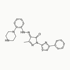 CC1=NN(c2nc(-c3ccccc3)cs2)C(=O)/C1=N/Nc1ccccc1N1CCNCC1